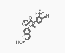 N#Cc1ccc(N2C(=O)[C@]3(CCOC3)N(c3ccc4c(c3)C=C[C@@H](CO)O4)C2=S)cc1C(F)(F)F